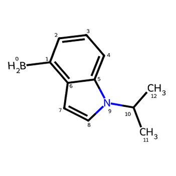 Bc1cccc2c1ccn2C(C)C